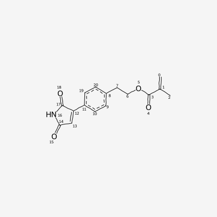 C=C(C)C(=O)OCCc1ccc(C2=CC(=O)NC2=O)cc1